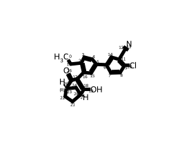 CCc1ccc(-c2ccc(Cl)c(C#N)c2)cc1C1=C(O)[C@H]2CC[C@H](C2)C1=O